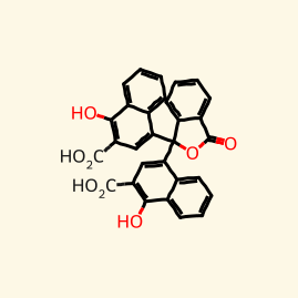 O=C1OC(c2cc(C(=O)O)c(O)c3ccccc23)(c2cc(C(=O)O)c(O)c3ccccc23)c2ccccc21